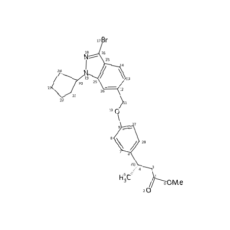 COC(=O)C[C@H](C)c1ccc(OCc2ccc3c(Br)nn(C4CCCC4)c3c2)cc1